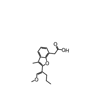 CCCC(=COC)c1oc2c(CC(=O)O)cccc2c1C